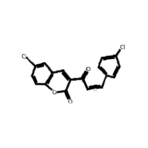 O=C(/C=C\c1ccc(Cl)cc1)c1cc2cc(Cl)ccc2oc1=O